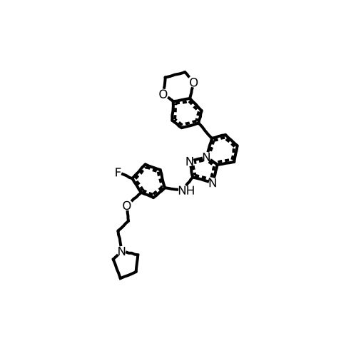 Fc1ccc(Nc2nc3cccc(-c4ccc5c(c4)OCCO5)n3n2)cc1OCCN1CCCC1